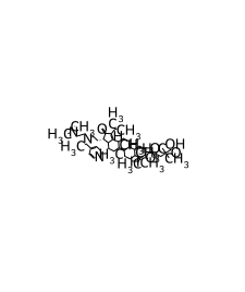 CC(C)C1=C2C(CC[C@]3(C)[C@@H]2CC[C@@H]2[C@@]4(C)CC[C@H](OC(=O)CC(C)(C)C(=O)O)C(C)(C)[C@@H]4CC[C@]23C)[C@H](CCN(CCN(C)C)[C@H](C)c2ccncc2)C1=O